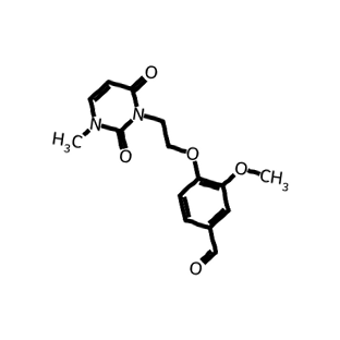 COc1cc(C=O)ccc1OCCn1c(=O)ccn(C)c1=O